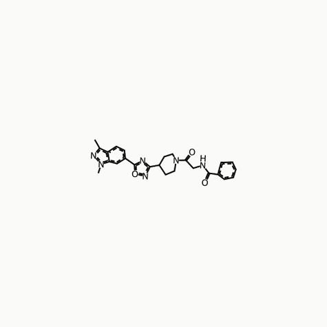 Cc1nn(C)c2cc(-c3nc(C4CCN(C(=O)CNC(=O)c5ccccc5)CC4)no3)ccc12